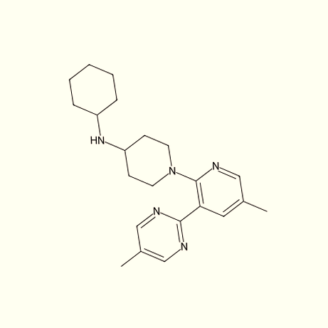 Cc1cnc(-c2cc(C)cnc2N2CCC(NC3CCCCC3)CC2)nc1